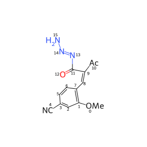 COc1cc(C#N)ccc1/C=C(/C(C)=O)C(=O)N=NN